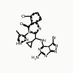 Cc1c[nH]nc1-n1c(C(NC2=NC(N)=NC3=NN=C(Br)C32)C2CC2)nc2cccc(Cl)c2c1=O